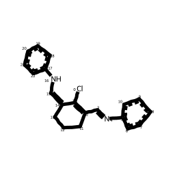 ClC1=C(C=Nc2ccccc2)CCCC1=CNc1ccccc1